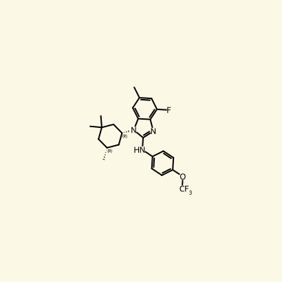 Cc1cc(F)c2nc(Nc3ccc(OC(F)(F)F)cc3)n([C@@H]3C[C@H](C)CC(C)(C)C3)c2c1